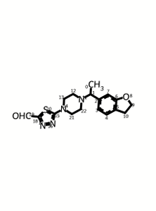 CC(c1ccc2c(c1)OCC2)N1CCN(c2nnc(C=O)s2)CC1